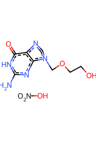 Nc1nc2c(ncn2COCCO)c(=O)[nH]1.O=[N+]([O-])O